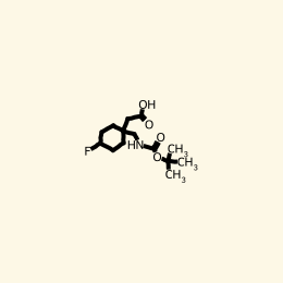 CC(C)(C)OC(=O)NCC1(CC(=O)O)CCC(F)CC1